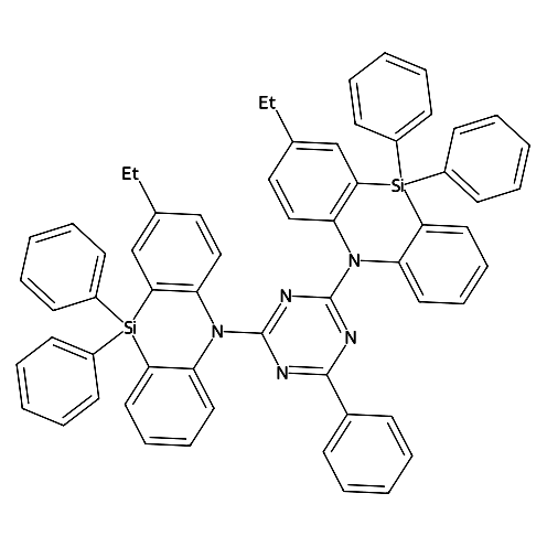 CCc1ccc2c(c1)[Si](c1ccccc1)(c1ccccc1)c1ccccc1N2c1nc(-c2ccccc2)nc(N2c3ccccc3[Si](c3ccccc3)(c3ccccc3)c3cc(CC)ccc32)n1